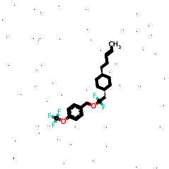 C/C=C/CC[C@H]1CC[C@H](CC(F)(F)OCc2ccc(OC(F)(F)F)cc2)CC1